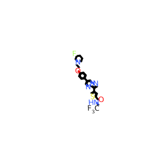 O=C(NCC(F)(F)F)c1cc(-c2cnn3cc(-c4ccc(OCCN5CCCC(F)C5)cc4)cnc23)cs1